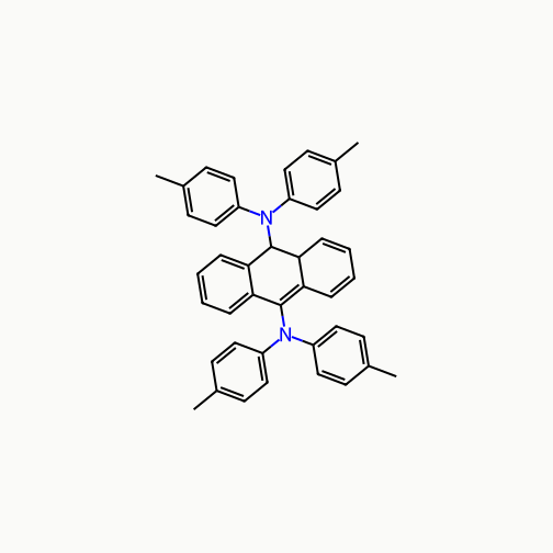 Cc1ccc(N(C2=C3C=CC=CC3C(N(c3ccc(C)cc3)c3ccc(C)cc3)c3ccccc32)c2ccc(C)cc2)cc1